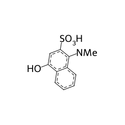 CNc1c(S(=O)(=O)O)cc(O)c2ccccc12